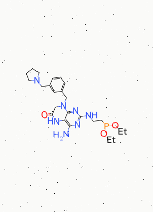 CCOP(CCNc1nc(N)c2c(n1)N(Cc1cccc(CN3CCCC3)c1)CC(=O)N2)OCC